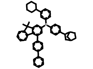 CC1(C)c2ccccc2-c2c(-c3ccc(-c4ccccc4)cc3)cc(N(c3ccc(C4CC5CCC4C5)cc3)c3cccc(C4CCCCC4)c3)cc21